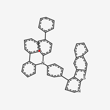 c1ccc(-c2ccc(N(c3ccc(-c4ccnc5sc6cc7ccccc7cc6c45)cc3)c3ccccc3-c3ccccc3)cc2)cc1